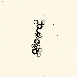 O=S(=O)(c1cccc(Cl)c1Cl)N1CCN(c2nc(Cc3ccc(Cl)c(Cl)c3)cs2)CC1